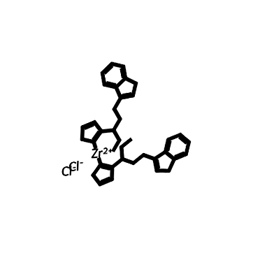 CCC(CCC1=CCc2ccccc21)C1=[C]([Zr+2][C]2=C(C(CC)CCC3=CCc4ccccc43)C=CC2)CC=C1.[Cl-].[Cl-]